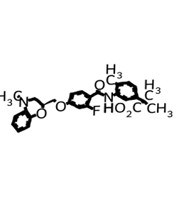 Cc1ccc(C(C)(C)C(=O)O)cc1NC(=O)c1ccc(OC[C@@H]2CN(C)c3ccccc3O2)cc1F